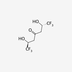 O=C(C[C@H](O)C(F)(F)F)C[C@H](O)C(F)(F)F